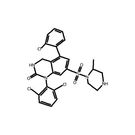 CC1CNCCN1S(=O)(=O)c1cc(-c2ccccc2Cl)c2c(c1)N(c1c(Cl)cccc1Cl)C(=O)NC2